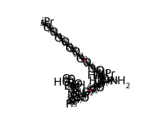 CCC1(O)C(=O)OCc2c1cc1n(c2=O)Cc2c-1nc1cc(F)c(C)c3c1c2[C@@H](NC(=O)OCc1ccc(NC(=O)[C@H](CCCCN)NC(=O)[C@@H](NC(=O)CCOCCOCCOCCOCCOCCOCCOCCOCCOCCC(C)C)C(C)C)cc1)CC3